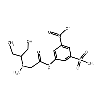 CCC(CO)N(C)CC(=O)Nc1cc([N+](=O)[O-])cc(S(C)(=O)=O)c1